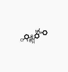 Cc1c(Cl)cccc1S(=O)(=O)Nc1ccc2c(c1)nc(C)n2-c1ccccc1